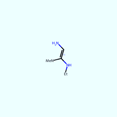 CCN/C(=C/N)NC